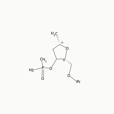 CC(C)OC[C@H]1O[C@@H](C)CC1OP(C)(=O)S